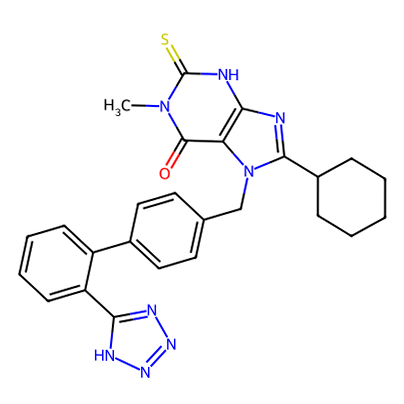 Cn1c(=S)[nH]c2nc(C3CCCCC3)n(Cc3ccc(-c4ccccc4-c4nnn[nH]4)cc3)c2c1=O